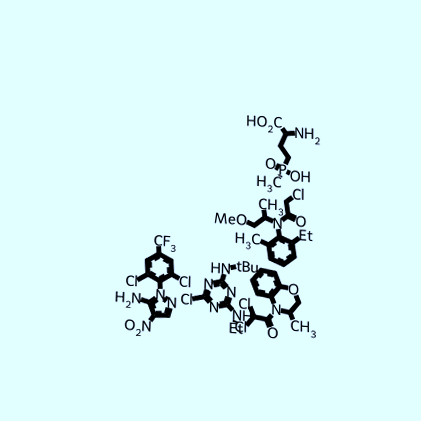 CC1COc2ccccc2N1C(=O)C(Cl)Cl.CCNc1nc(Cl)nc(NC(C)(C)C)n1.CCc1cccc(C)c1N(C(=O)CCl)C(C)COC.CP(=O)(O)CCC(N)C(=O)O.Nc1c([N+](=O)[O-])cnn1-c1c(Cl)cc(C(F)(F)F)cc1Cl